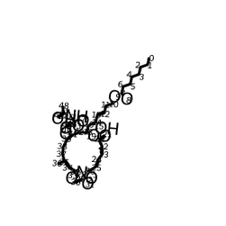 CCCCCCCC(=O)OCC/C=C/C(O)C(O)C1OC(=O)/C=C\C=C\C(=O)N(C(C)=O)C(=O)/C=C(/C)CCC2OC2C1OC(=O)NC(C)=O